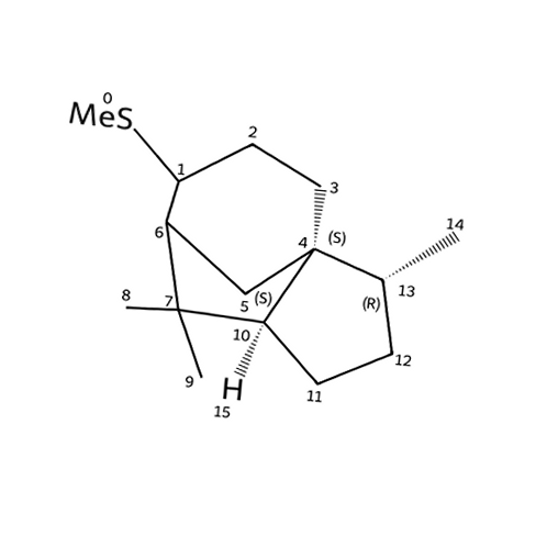 CSC1CC[C@@]23CC1C(C)(C)[C@@H]2CC[C@H]3C